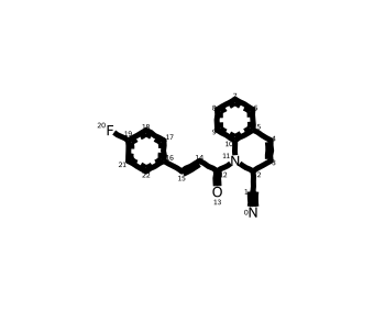 N#CC1C=Cc2ccccc2N1C(=O)/C=C/c1ccc(F)cc1